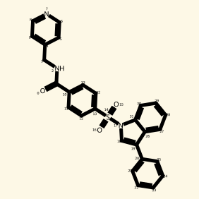 O=C(NCc1ccncc1)c1ccc(S(=O)(=O)n2cc(-c3ccccc3)c3ccccc32)cc1